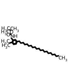 CCCCCCCCCCCCCCCCCCCCCCc1ccc(C(C)C)c(CNC(=O)OC(C)(C)C)c1